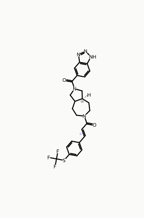 O=C(/C=C/c1ccc(SC(F)(F)F)cc1)N1CCC2CN(C(=O)c3ccc4[nH]nnc4c3)C[C@H]2CC1